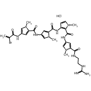 C=C(Br)C(=O)Nc1cc(C(=O)Nc2cc(C(=O)Nc3ccn(C)c3C(=O)Nc3cc(C(=O)NCCNC(=N)N)n(C)c3)n(C)c2)n(C)c1.Cl